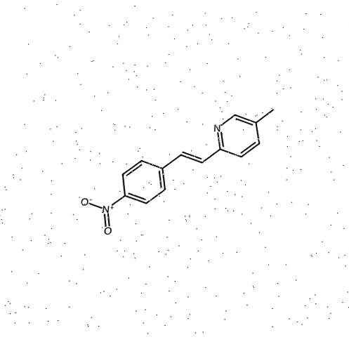 Cc1ccc(C=Cc2ccc([N+](=O)[O-])cc2)nc1